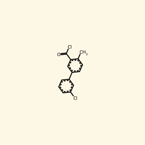 Cc1ccc(-c2cccc(Cl)c2)cc1C(=O)Cl